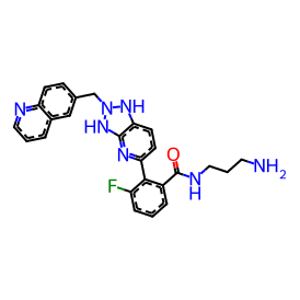 NCCCNC(=O)c1cccc(F)c1-c1ccc2c(n1)NN(Cc1ccc3ncccc3c1)N2